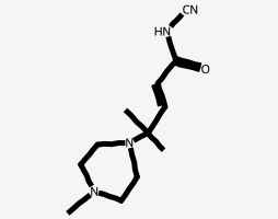 CN1CCN(C(C)(C)C=CC(=O)NC#N)CC1